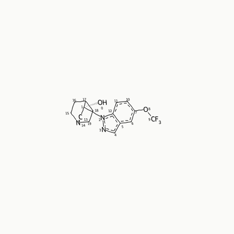 O[C@]1(n2ncc3cc(OC(F)(F)F)ccc32)CN2CCC1CC2